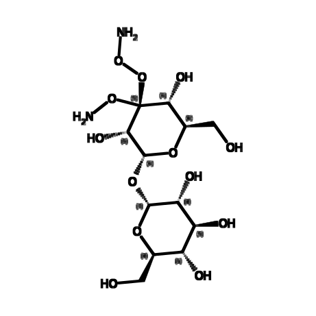 NOO[C@@]1(ON)[C@H](O)[C@@H](CO)O[C@H](O[C@H]2O[C@H](CO)[C@@H](O)[C@H](O)[C@H]2O)[C@@H]1O